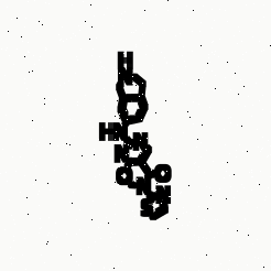 O=C1c2cnc(Nc3ccc4c(c3)CNCC4)nc2OCN1c1nccs1